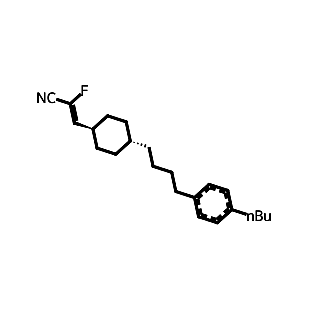 CCCCc1ccc(CCCC[C@H]2CC[C@H](C=C(F)C#N)CC2)cc1